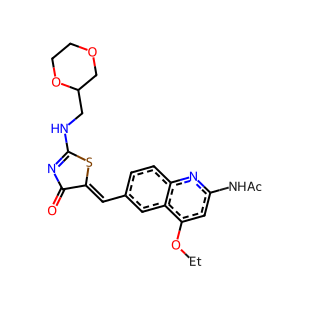 CCOc1cc(NC(C)=O)nc2ccc(/C=C3\SC(NCC4COCCO4)=NC3=O)cc12